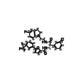 O=C(NC[C@H](C(=O)NCCN1CCc2cc(F)ccc21)c1cccc(Cl)c1)c1ccc(-c2cccc(C(F)(F)F)c2)o1